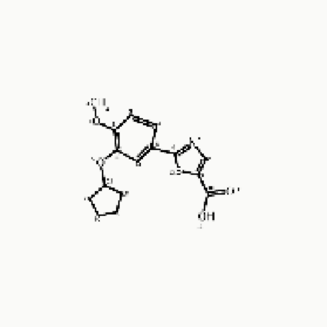 COc1ccc(-c2ncc(C(=O)O)s2)cc1OC1CCCC1